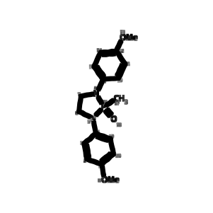 COc1ccc(N2CCN(c3ccc(OC)cc3)P2(C)=O)cc1